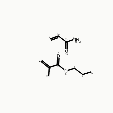 C=C(C)C(=O)OCCC.C=CC(N)=O